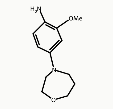 COc1cc(N2CCCOCC2)ccc1N